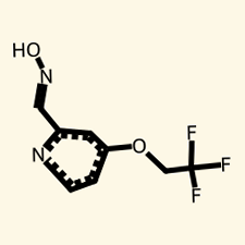 O/N=C/c1cc(OCC(F)(F)F)ccn1